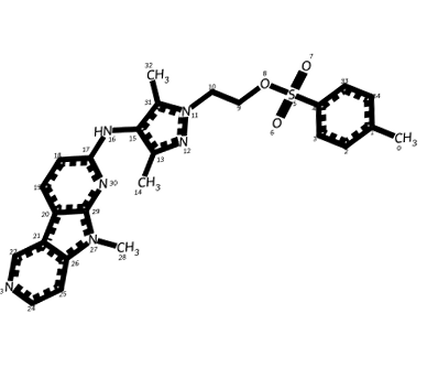 Cc1ccc(S(=O)(=O)OCCn2nc(C)c(Nc3ccc4c5cnccc5n(C)c4n3)c2C)cc1